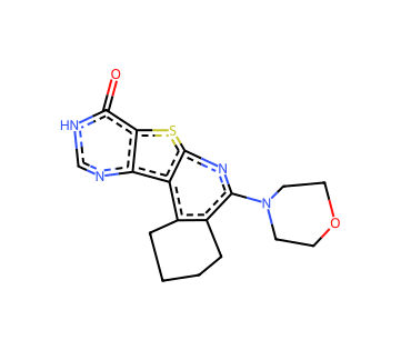 O=c1[nH]cnc2c1sc1nc(N3CCOCC3)c3c(c12)CCCC3